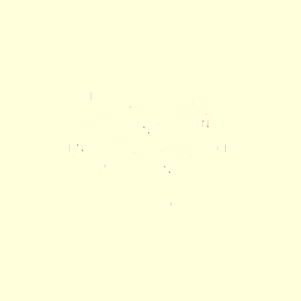 Cc1cc(CN2CCOCC2)c(Cn2ccc3c(C(N)=O)cc(C(C)C)cc32)c(=O)[nH]1